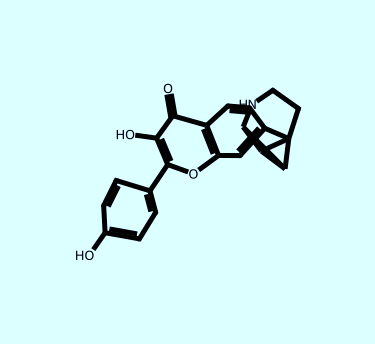 O=c1c(O)c(-c2ccc(O)cc2)oc2cc(C34CCNC5C3C54)ccc12